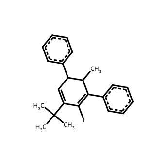 CC1C(c2ccccc2)=C(I)C(C(C)(C)C)=CC1c1ccccc1